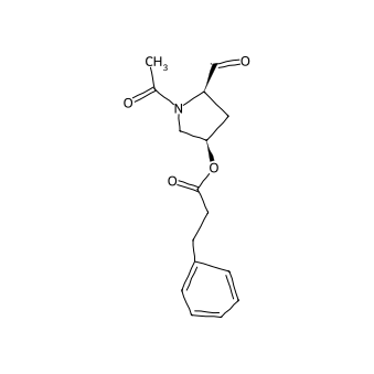 CC(=O)N1C[C@H](OC(=O)CCc2ccccc2)C[C@@H]1[C]=O